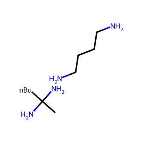 CCCCC(C)(N)N.NCCCCN